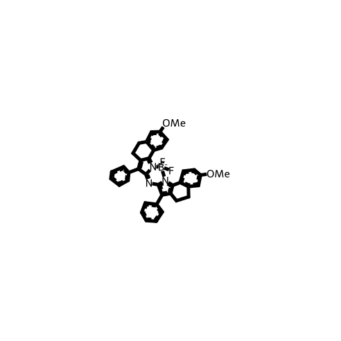 COc1ccc2c(c1)CCC1=C(c3ccccc3)C3=Nc4c(-c5ccccc5)c5c(n4[B-](F)(F)[N+]3=C12)-c1ccc(OC)cc1CC5